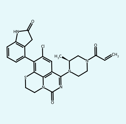 C=CC(=O)N1CCN(c2nc(=O)n3c4c(c(-c5cccc6c5CC(=O)N6)c(Cl)cc24)SCC3)[C@@H](C)C1